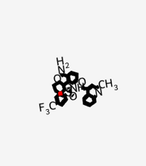 Cc1cc(COc2ccc(C(N)=O)c(C3CCCCC3)c2NS(=O)(=O)c2ccc(C(F)(F)F)cc2)c2ccccc2n1